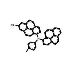 Cc1ccc(N(c2ccc3ccc4cccc5ccc2c3c45)c2ccc3ccc4cc(C(C)(C)C)cc5ccc2c3c45)cc1